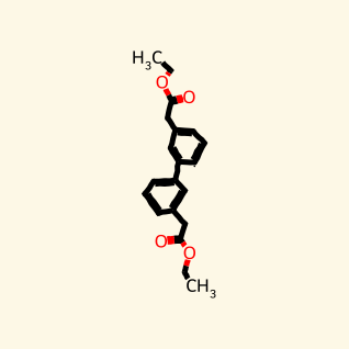 CCOC(=O)Cc1cc[c]c(-c2cccc(CC(=O)OCC)c2)c1